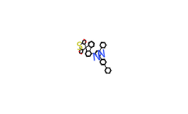 c1ccc(-c2ccc(-c3nc(-c4ccccc4)cc(-c4cccc5c4-c4ccccc4C54c5ccccc5Sc5ccccc54)n3)cc2)cc1